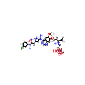 COc1cc2c(Nc3cc(CC(=O)Nc4cccc(F)c4)[nH]n3)ncnc2cc1OCCC(NCCOP(=O)(O)O)C1CC1